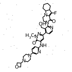 Cn1nc(-c2ccnc(N3CCN4C(=C(F)C5CCCCC54)C3=O)c2CO)cc(Nc2ccc(N3CCN(C4COC4)CC3)cn2)c1=O